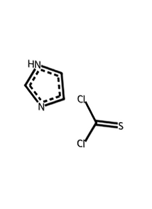 S=C(Cl)Cl.c1c[nH]cn1